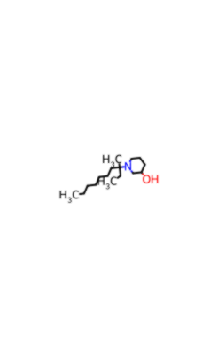 CCCCCCCC(C)(CC)N1CCCC(O)C1